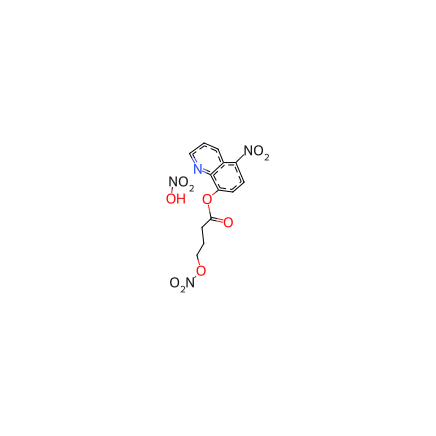 O=C(CCCO[N+](=O)[O-])Oc1ccc([N+](=O)[O-])c2cccnc12.O=[N+]([O-])O